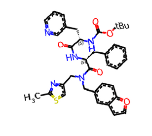 Cc1nc(CN(Cc2ccc3occc3c2)C(=O)[C@H](Cc2ccccc2)NC(=O)[C@H](Cc2cccnc2)NC(=O)OC(C)(C)C)cs1